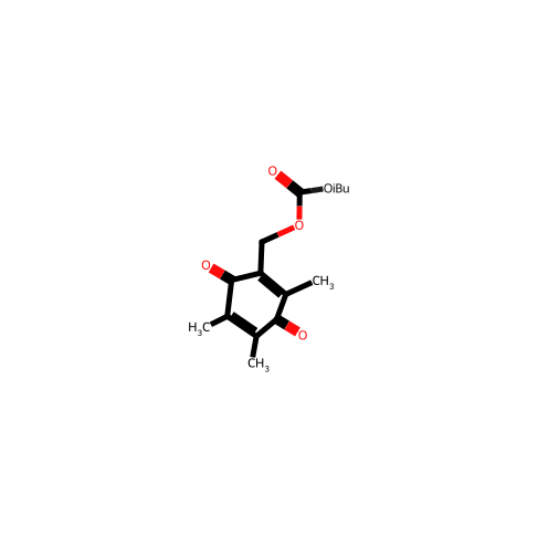 CC1=C(C)C(=O)C(COC(=O)OCC(C)C)=C(C)C1=O